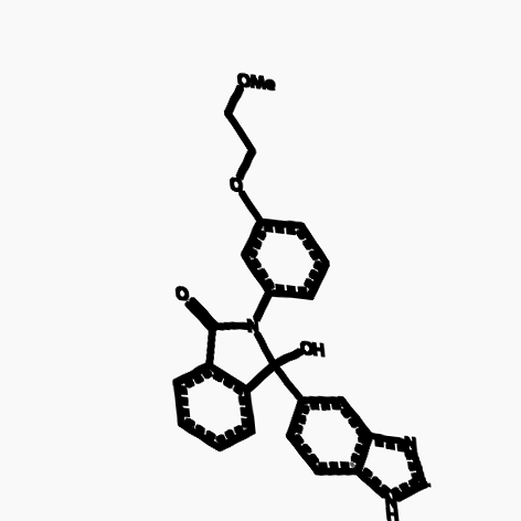 COCCOc1cccc(N2C(=O)c3ccccc3C2(O)c2ccc3[nH][c]nc3c2)c1